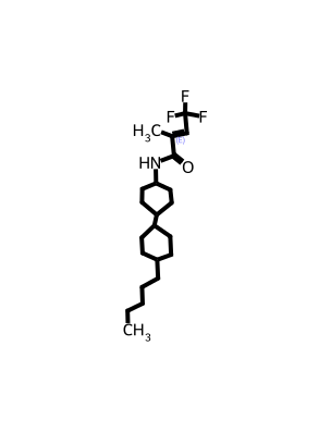 CCCCCC1CCC(C2CCC(NC(=O)/C(C)=C/C(F)(F)F)CC2)CC1